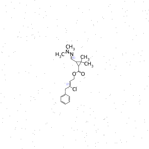 CN(C)/N=C/C1C(C(=O)OC/C=C(\Cl)Cc2ccccc2)C1(C)C